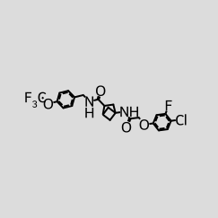 O=C(COc1ccc(Cl)c(F)c1)NC12CC(C1)C(C(=O)NCc1ccc(OC(F)(F)F)cc1)C2